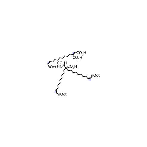 CCCCCCCC/C=C\CCCCCCCC/C(=C/C(=O)O)C(=O)O.CCCCCCCC/C=C\CCCCCCCCC(CCCCCCCC/C=C\CCCCCCCC)(C(=O)O)C(O)C(=O)O